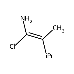 CC(=C(N)Cl)C(C)C